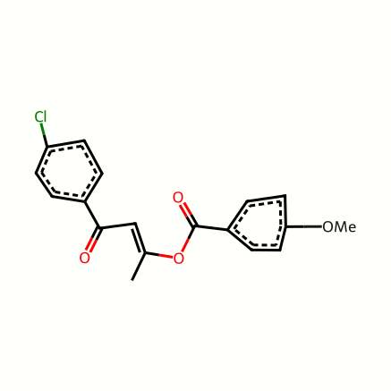 COc1ccc(C(=O)OC(C)=CC(=O)c2ccc(Cl)cc2)cc1